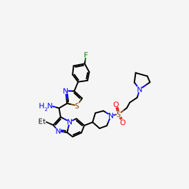 CCc1nc2ccc(C3CCN(S(=O)(=O)CCCN4CCCC4)CC3)cn2c1C(N)c1nc(-c2ccc(F)cc2)cs1